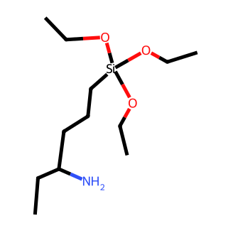 CCO[Si](CCCC(N)CC)(OCC)OCC